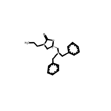 CCCN1C[C@@H](CN(Cc2ccccc2)Cc2ccccc2)OC1=O